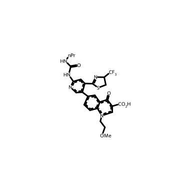 CCCNC(=O)Nc1cc(C2=NC(C(F)(F)F)CS2)c(-c2ccc3c(c2)c(=O)c(C(=O)O)cn3CCOC)cn1